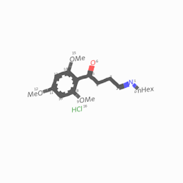 CCCCCCN=CCCC(=O)c1c(OC)cc(OC)cc1OC.Cl